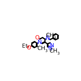 CCOc1ccc(N2C=C(c3cnn(C)c3)C(N(C)Cc3ccccc3)CC2=O)c(C)c1